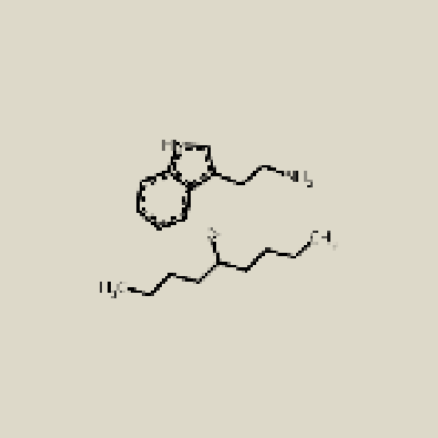 CCCCC([O])CCCC.NCCc1c[nH]c2ccccc12